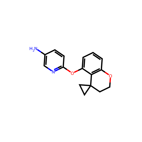 Nc1ccc(Oc2cccc3c2C2(CCO3)CC2)nc1